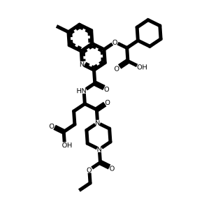 CCOC(=O)N1CCN(C(=O)C(CCC(=O)O)NC(=O)c2cc(OC(C(=O)O)C3CCCCC3)c3ccc(C)cc3n2)CC1